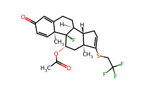 CC(=O)O[C@H]1C[C@]2(C)C(SCC(F)(F)F)=CC[C@H]2[C@@H]2CCC3=CC(=O)C=C[C@]3(C)[C@@]12F